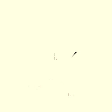 CC(C)(C)OC(=O)[C@H](Cc1ccccc1)NC(=O)/C=C\C(=O)O